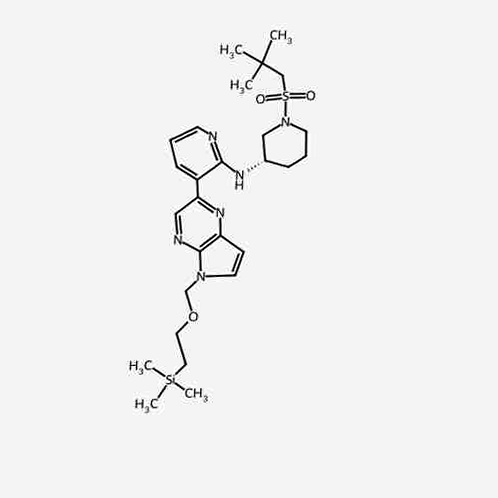 CC(C)(C)CS(=O)(=O)N1CCC[C@H](Nc2ncccc2-c2cnc3c(ccn3COCC[Si](C)(C)C)n2)C1